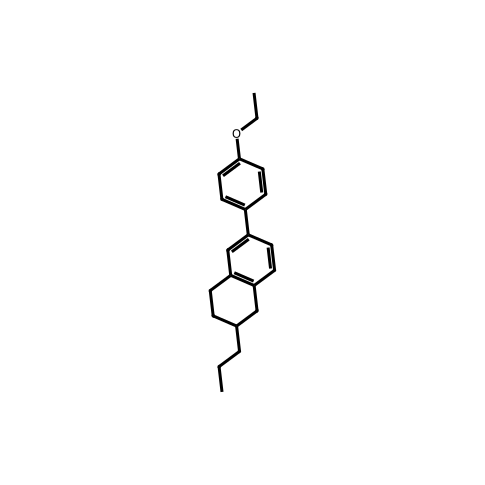 CCCC1CCc2cc(-c3ccc(OCC)cc3)ccc2C1